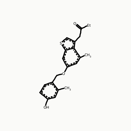 CCC(=O)Cc1csc2cc(OCc3ccc(O)cc3C)cc(C)c12